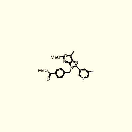 COC(=O)c1ccc(Cn2c(-c3cncc(F)c3)nc3c(C)nc(OC)nc32)cc1